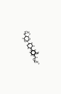 C=C[C@H]1CO[C@H](C2CCC(c3ccc(COC)c(F)c3)CC2)OC1